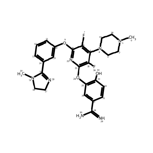 CN1CCN(c2c(F)c(Oc3cccc(C4=NCCN4C)c3)nc(Oc3cc(C(=N)N)ccc3O)c2F)CC1